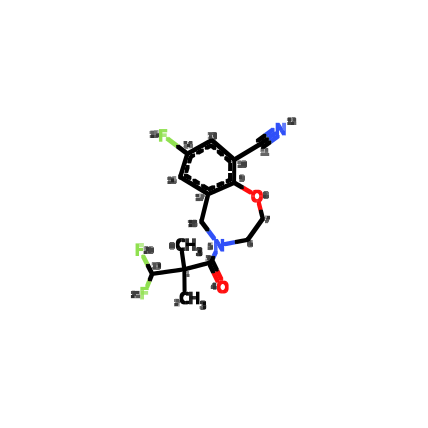 CC(C)(C(=O)N1CCOc2c(C#N)cc(F)cc2C1)C(F)F